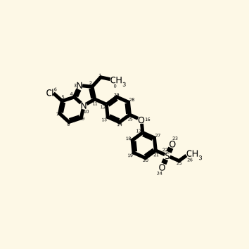 CCc1nc2c(Cl)cccn2c1-c1ccc(Oc2cccc(S(=O)(=O)CC)c2)cc1